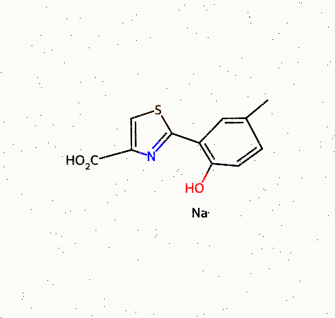 Cc1ccc(O)c(-c2nc(C(=O)O)cs2)c1.[Na]